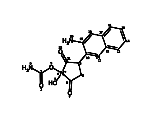 NC(=O)O[N+]1(O)C(=O)CC(c2nc3ccccc3cc2N)C1=O